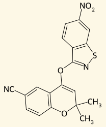 CC1(C)C=C(Oc2nsc3cc([N+](=O)[O-])ccc23)c2cc(C#N)ccc2O1